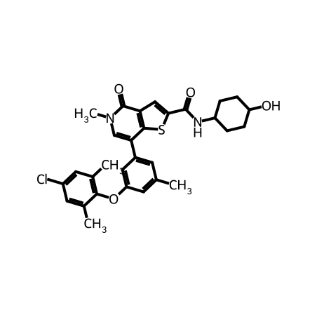 Cc1cc(Oc2c(C)cc(Cl)cc2C)cc(-c2cn(C)c(=O)c3cc(C(=O)NC4CCC(O)CC4)sc23)c1